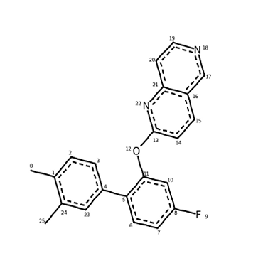 Cc1ccc(-c2ccc(F)cc2Oc2ccc3cnccc3n2)cc1C